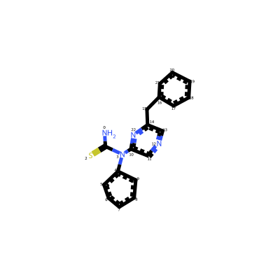 NC(=S)N(c1ccccc1)c1cncc(Cc2ccccc2)n1